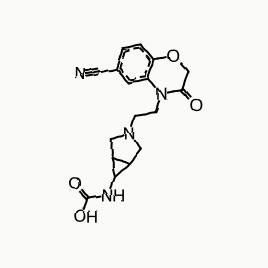 N#Cc1ccc2c(c1)N(CCN1CC3C(C1)C3NC(=O)O)C(=O)CO2